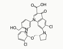 O=C(O)c1cn(-c2ccc(CO)nc2)c2cc(N3CCC[C@@H]3COc3ncccc3Cl)c(Cl)cc2c1=O